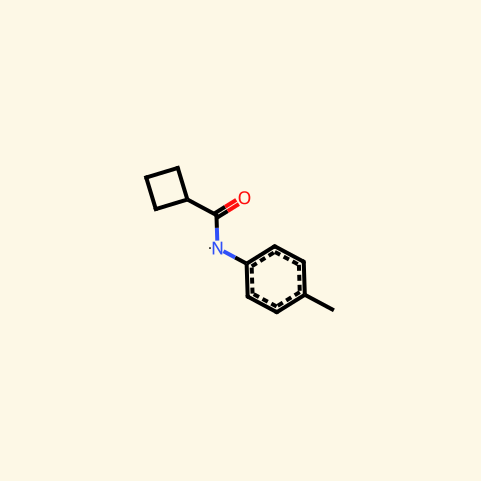 Cc1ccc([N]C(=O)C2CCC2)cc1